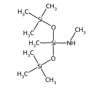 CN[Si](C)(O[Si](C)(C)C)O[Si](C)(C)C